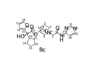 O=C(C[N+]12CCC(CC1)C(OC(=O)[C@](O)(c1ccco1)C1CCCC1)C2)Nc1ccncn1.[Br-]